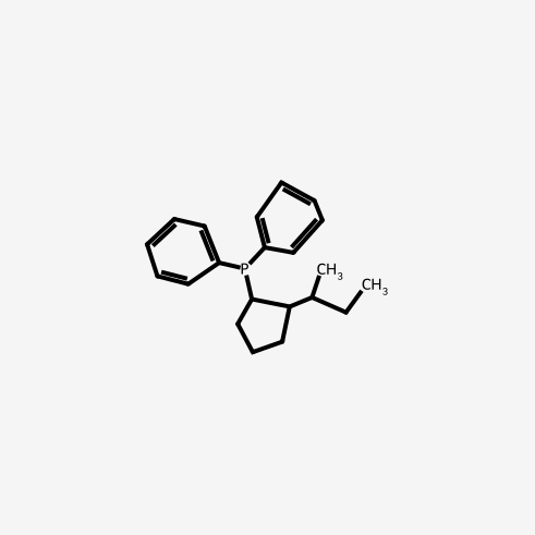 CCC(C)C1CCCC1P(c1ccccc1)c1ccccc1